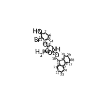 O=C(N[C@@H](Cc1ccc(O)c(Br)c1)C(=O)OP)OCC1c2ccccc2-c2ccccc21